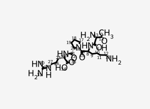 C[C@@H](O)[C@H](N)C(=O)NC(CCCCN)C(=O)N1CCC[C@H]1C(=O)N[C@@H](CCCNC(=N)N)C(=O)O